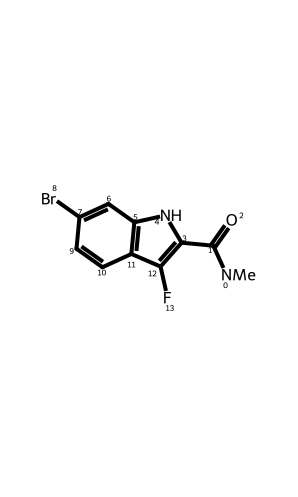 CNC(=O)c1[nH]c2cc(Br)ccc2c1F